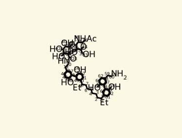 CCC(CCCCCCC(CC)c1ccc(O)c(-c2cc(CCNC(=O)C3OC(OC4C(O)C(CO)OC(C)C4NC(C)=O)C(O)C(O)C3O)ccc2O)c1)c1ccc(O)c(-c2cc(CCN)ccc2O)c1